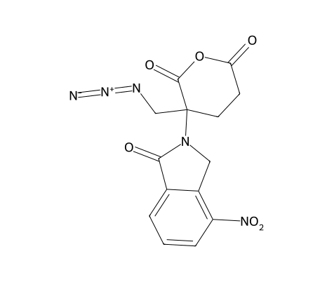 [N-]=[N+]=NCC1(N2Cc3c(cccc3[N+](=O)[O-])C2=O)CCC(=O)OC1=O